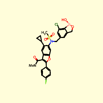 CNC(=O)c1c(-c2ccc(F)cc2)oc2cc(N(Cc3cc(Cl)c4c(c3)COB4O)S(C)(=O)=O)c(C3CC3)cc12